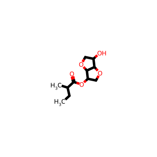 CCC(C)C(=O)OC1COC2C(O)COC12